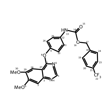 COc1cc2ncnc(Oc3ccc(NC(=O)OCc4ccc(C(F)(F)F)cc4)cc3)c2cc1OC